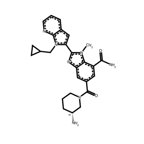 Cn1c(-c2cc3cccnc3n2CC2CC2)nc2cc(C(=O)N3CCC[C@@H](N)C3)cc(C(N)=O)c21